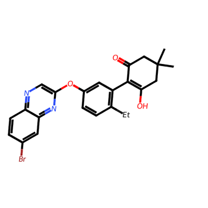 CCc1ccc(Oc2cnc3ccc(Br)cc3n2)cc1C1=C(O)CC(C)(C)CC1=O